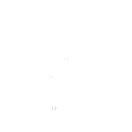 Cc1cc(C)c2c(c1O)OC(C)(c1ccccc1)O2